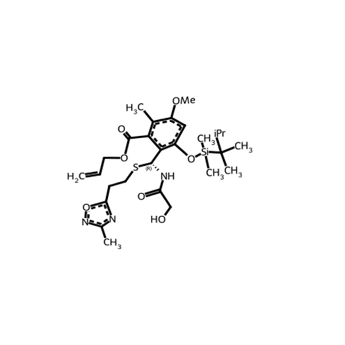 C=CCOC(=O)c1c(C)c(OC)cc(O[Si](C)(C)C(C)(C)C(C)C)c1[C@H](NC(=O)CO)SCCc1nc(C)no1